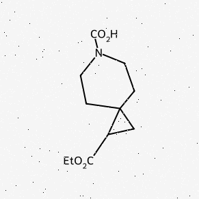 CCOC(=O)C1CC12CCN(C(=O)O)CC2